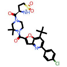 CC(C)(C)c1cc(-c2ccc(Cl)cc2)nc2cc(C(=O)N3CCN(C(=O)[C@H]4CCS(=O)(=O)N4)CC3(C)C)oc12